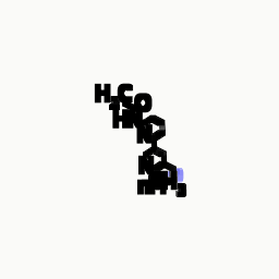 C=CC(=O)Nc1cccc(-c2cnc(C)c(/C=C\CCC)c2)n1